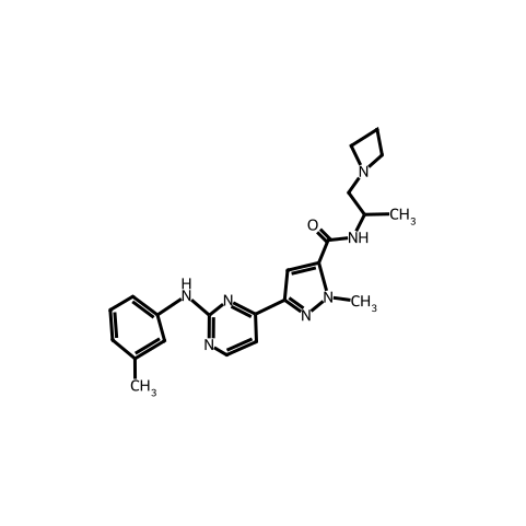 Cc1cccc(Nc2nccc(-c3cc(C(=O)NC(C)CN4CCC4)n(C)n3)n2)c1